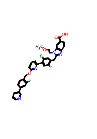 COCCn1c(Cc2cc(F)c(-c3cccc(OCc4ccc(-c5cccnc5)cc4F)n3)cc2F)nc2ccc(C(=O)O)cc21